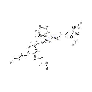 CCCCOc1ccc(C=C/C(=C/C=N/CCCP(=O)(OCC)OCC)c2ccccc2C)cc1OCCCC